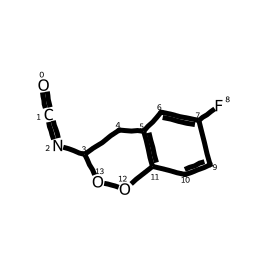 O=C=NC1Cc2cc(F)ccc2OO1